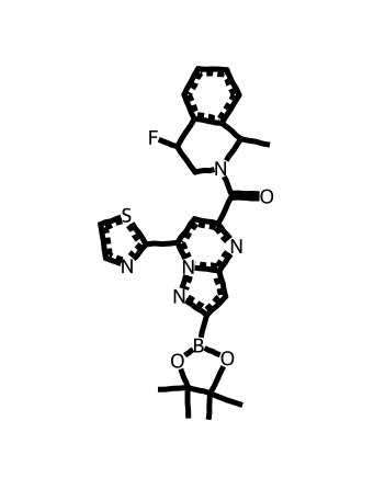 CC1c2ccccc2C(F)CN1C(=O)c1cc(-c2nccs2)n2nc(B3OC(C)(C)C(C)(C)O3)cc2n1